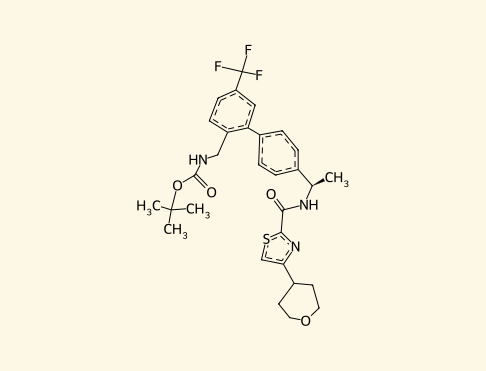 C[C@@H](NC(=O)c1nc(C2CCOCC2)cs1)c1ccc(-c2cc(C(F)(F)F)ccc2CNC(=O)OC(C)(C)C)cc1